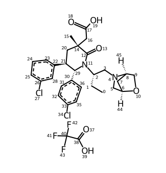 CC[C@@H](CN1C[C@H]2C[C@@H]1CO2)N1C(=O)[C@@](C)(CC(=O)O)C[C@H](c2cccc(Cl)c2)[C@H]1c1ccc(Cl)cc1.O=C(O)C(F)(F)F